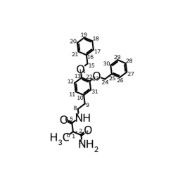 C[C](C(N)=O)C(=O)NCCc1ccc(OCc2ccccc2)c(OCc2ccccc2)c1